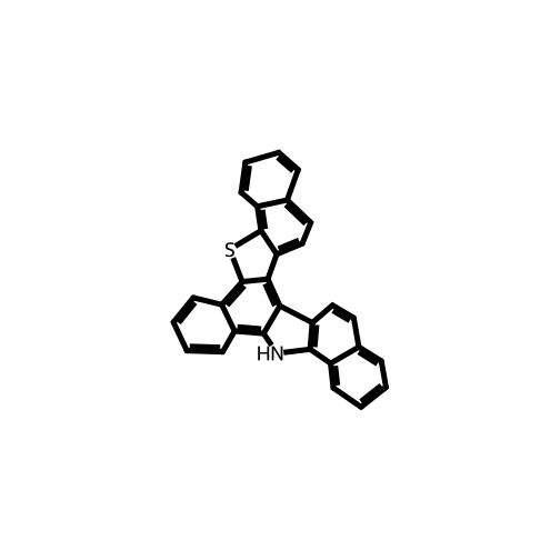 c1ccc2c(c1)ccc1c2[nH]c2c3ccccc3c3sc4c5ccccc5ccc4c3c12